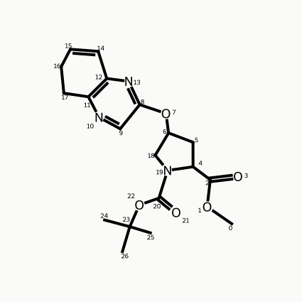 COC(=O)C1CC(Oc2cnc3c(n2)C=CCC3)CN1C(=O)OC(C)(C)C